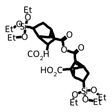 CCO[Si](OCC)(OCC)C1CC2=C(C(=O)OC(=O)C3=C4CC(C3C(=O)O)C([Si](OCC)(OCC)OCC)C4)C(C(=O)O)C1C2